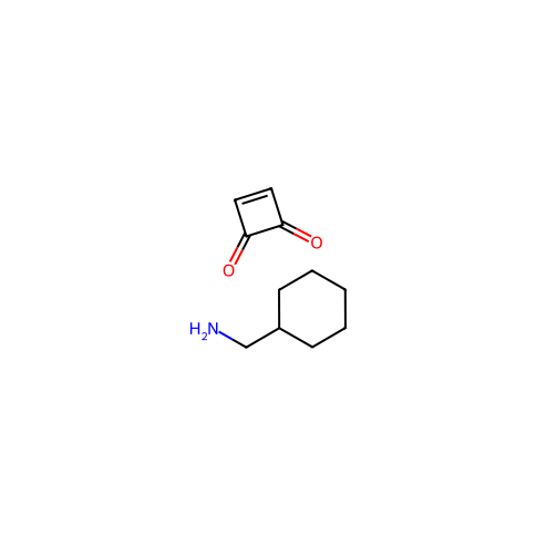 NCC1CCCCC1.O=c1ccc1=O